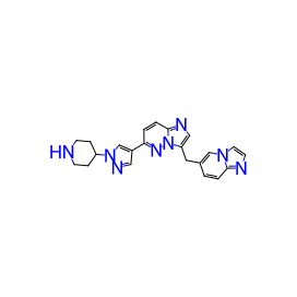 c1cn2cc(Cc3cnc4ccc(-c5cnn(C6CCNCC6)c5)nn34)ccc2n1